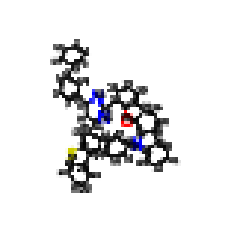 c1ccc(-c2cccc(-c3cc(-c4ccc5c(c4)sc4ccccc45)nc(-c4cccc5c4oc4c5ccc5c6ccccc6n(-c6ccccc6)c54)n3)c2)cc1